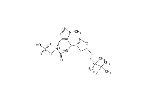 Cn1ncc2c1C(C1=NOC(CO[Si](C)(C)C(C)(C)C)C1)N1CC2N(OS(=O)(=O)O)C1=O